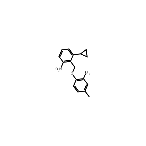 Cc1ccc(OCc2c(C3CC3)cccc2[N+](=O)[O-])c(C(F)(F)F)c1